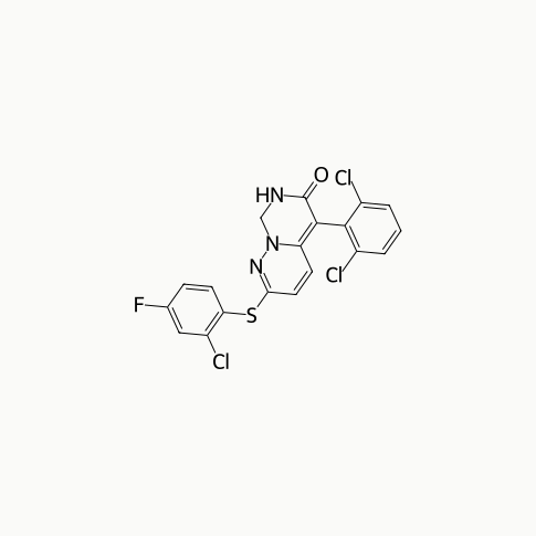 O=C1NCN2N=C(Sc3ccc(F)cc3Cl)C=CC2=C1c1c(Cl)cccc1Cl